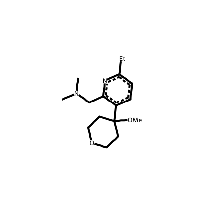 CCc1ccc(C2(OC)CCOCC2)c(CN(C)C)n1